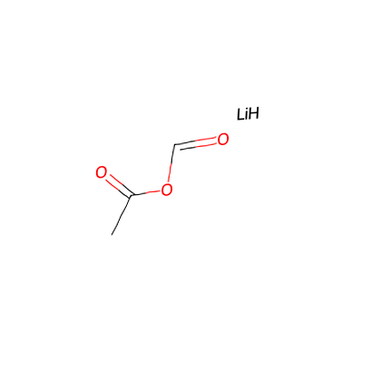 CC(=O)OC=O.[LiH]